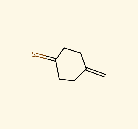 C=C1CCC(=S)CC1